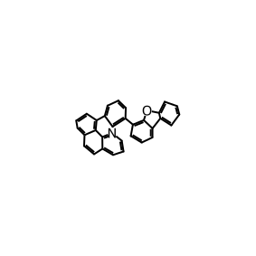 c1cc(-c2cccc3c2oc2ccccc23)cc(-c2cccc3ccc4cccnc4c23)c1